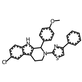 COc1ccc(C2c3[nH]c4ccc(Cl)cc4c3CCN2c2nc(-c3ccccc3)cs2)cc1